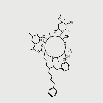 CC[C@H]1OC(O)[C@H](C)[C@@H](O[C@H]2C[C@@](C)(OC)[C@@H](O)[C@H](C)O2)[C@H](C)[C@@H](O[C@@H]2O[C@H](C)C[C@H](N(C)C)[C@H]2OC(=O)CCCCC(CCSCc2ccccc2)SCc2ccccc2)[C@](C)(O)C[C@@H](C)CN(C)[C@H](C)[C@@H](O)[C@]1(C)O